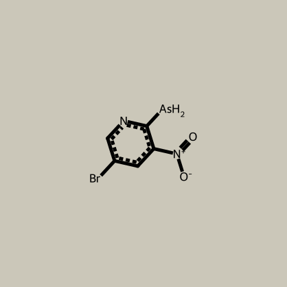 O=[N+]([O-])c1cc(Br)cnc1[AsH2]